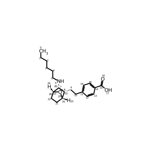 CCCCCCN[C@@H]1[C@H](CCc2ccc(C(=O)O)cc2)[C@@H]2CC[C@H]1O2